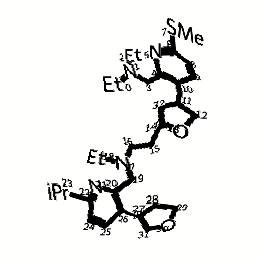 CCN(CC)Cc1nc(SC)ccc1C1COC(CCN(CC)Cc2nc(C(C)C)ccc2[C@H]2CCOC2)C1